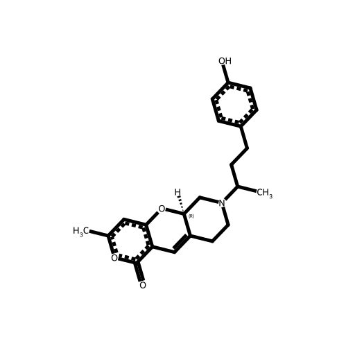 Cc1cc2c(c(=O)o1)C=C1CCN(C(C)CCc3ccc(O)cc3)C[C@@H]1O2